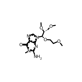 COCCO[C@H]([C@@H](COC)OC)n1cnc2c(=O)n(C)c(N)nc21